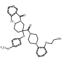 O=C(c1cnccc1C(F)(F)F)N1CCCC(Oc2ccc(OC(F)(F)F)cc2)(C(=O)N2CCN(c3ccccc3OCCO)CC2)C1